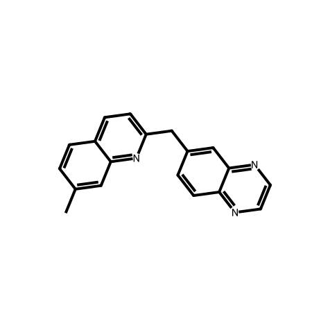 Cc1ccc2ccc(Cc3ccc4nccnc4c3)nc2c1